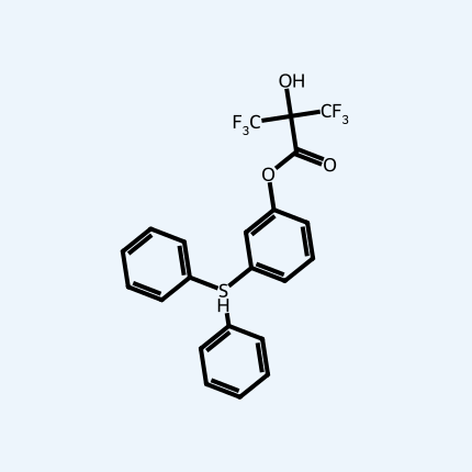 O=C(Oc1cccc([SH](c2ccccc2)c2ccccc2)c1)C(O)(C(F)(F)F)C(F)(F)F